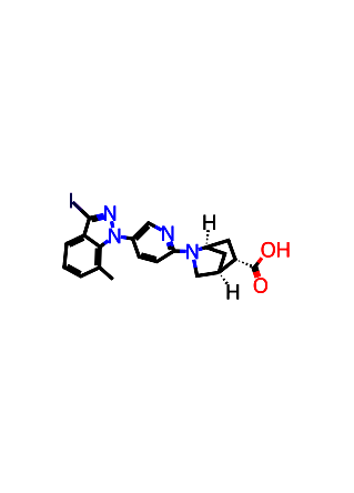 Cc1cccc2c(I)nn(-c3ccc(N4C[C@H]5C[C@@H]4C[C@@H]5C(=O)O)nc3)c12